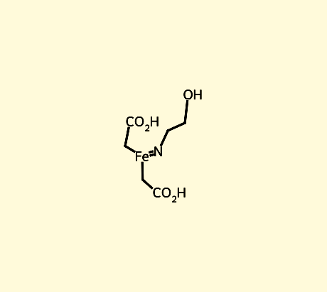 O=C(O)[CH2][Fe]([CH2]C(=O)O)=[N]CCO